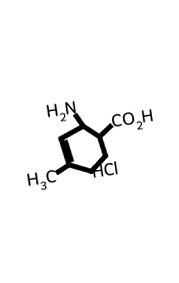 CC1=CC(N)C(C(=O)O)CC1.Cl